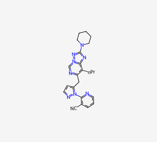 CCCc1c(Cc2ccnn2-c2ncccc2C#N)ncn2nc(N3CCCCC3)nc12